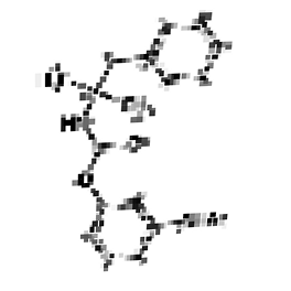 CC(=O)Nc1cccc(OC(=O)NC(C)(C)Cc2ccccc2)c1